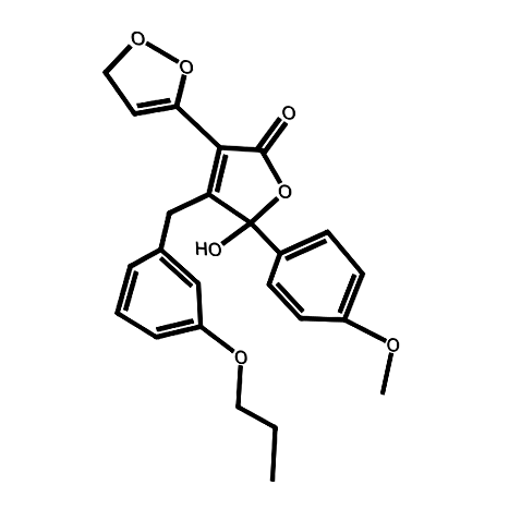 CCCOc1cccc(CC2=C(C3=CCOO3)C(=O)OC2(O)c2ccc(OC)cc2)c1